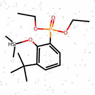 CCOP(=O)(OCC)c1cccc(C(C)(C)C)c1O[SiH](C)C